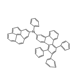 c1ccc(-c2cc(-c3ccccc3)c3c4ccccc4c4cc(N(c5ccccc5)c5cc6ccc7cccc8ccc(c5)c6c78)ccc4c3c2-c2ccccc2)cc1